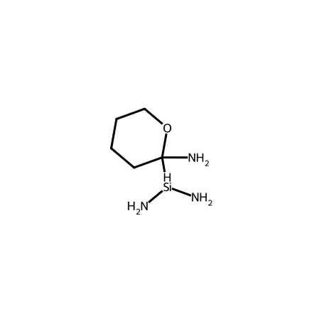 N[SiH](N)C1(N)CCCCO1